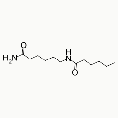 CCCCCC(=O)NCCCCCC(N)=O